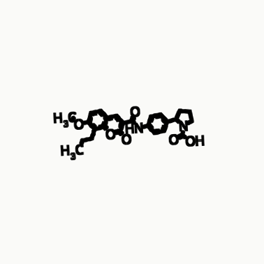 CCCc1c(OC)ccc2cc(C(=O)Nc3ccc(C4CCCN4C(=O)O)cc3)c(=O)oc12